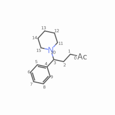 CC(=O)CCC(c1ccccc1)N1CCCCC1